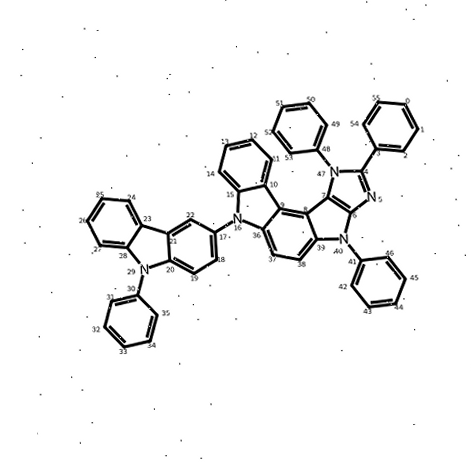 c1ccc(-c2nc3c(c4c5c6ccccc6n(-c6ccc7c(c6)c6ccccc6n7-c6ccccc6)c5ccc4n3-c3ccccc3)n2-c2ccccc2)cc1